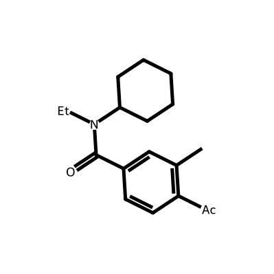 CCN(C(=O)c1ccc(C(C)=O)c(C)c1)C1CCCCC1